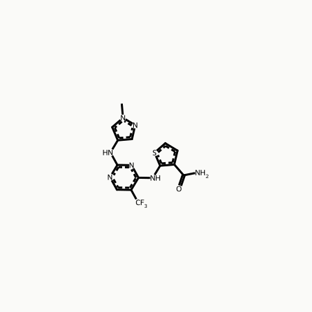 Cn1cc(Nc2ncc(C(F)(F)F)c(Nc3sccc3C(N)=O)n2)cn1